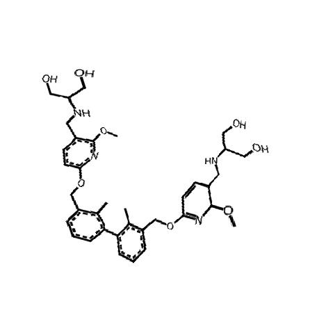 COc1nc(OCc2cccc(-c3cccc(COC4=NC(OC)C(CNC(CO)CO)C=C4)c3C)c2C)ccc1CNC(CO)CO